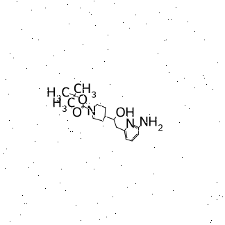 CC(C)(C)OC(=O)N1CCC(C(O)Cc2cccc(N)n2)CC1